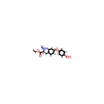 CCOC(=O)[C@H](Cc1ccc(Oc2ccc(O)cc2)cc1)NI